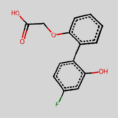 O=C(O)COc1ccccc1-c1ccc(F)cc1O